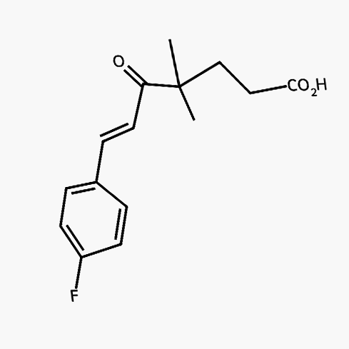 CC(C)(CCC(=O)O)C(=O)/C=C/c1ccc(F)cc1